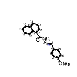 COc1ccc(/C=N/NC(=O)c2cccc3ccccc23)cc1